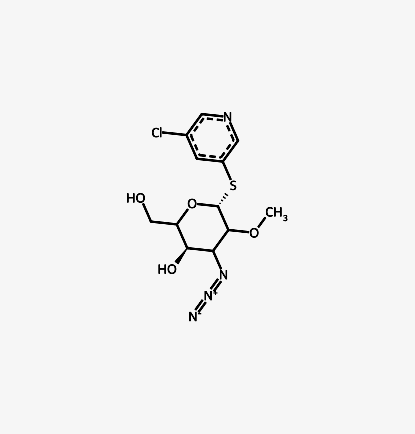 COC1C(N=[N+]=[N-])[C@@H](O)C(CO)O[C@@H]1Sc1cncc(Cl)c1